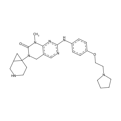 CN1C(=O)N(C23CCNCC2C3)Cc2cnc(Nc3ccc(OCCN4CCCC4)cc3)nc21